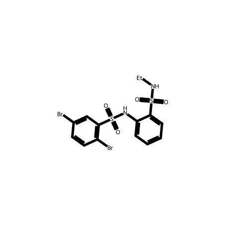 CCNS(=O)(=O)c1ccccc1NS(=O)(=O)c1cc(Br)ccc1Br